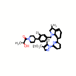 CCOC(=O)c1cnn(-c2cccc(-c3cccc4c3N(Cc3ccc(C5CCN(C(=O)[C@H](C)O)CC5)c(CC)c3)CC4C)n2)c1CC